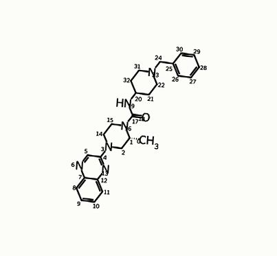 C[C@@H]1CN(c2cnc3ccccc3n2)CCN1C(=O)NC1CCN(Cc2ccccc2)CC1